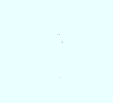 C=C(C)C(=O)OCCCC1OC(C)(C)OC1CC1OC(C)(C)OC1CCOC1=CCC=c2cc(-c3ccc(CC)cc3)sc2=C1